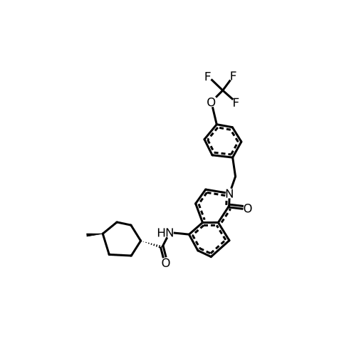 C[C@H]1CC[C@H](C(=O)Nc2cccc3c(=O)n(Cc4ccc(OC(F)(F)F)cc4)ccc23)CC1